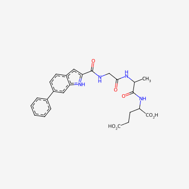 CC(NC(=O)CNC(=O)c1cc2ccc(-c3ccccc3)cc2[nH]1)C(=O)NC(CCC(=O)O)C(=O)O